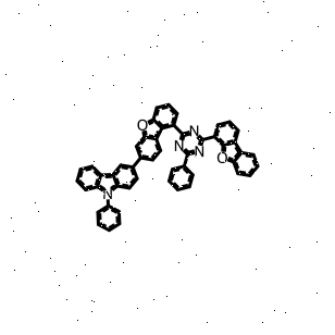 c1ccc(-c2nc(-c3cccc4c3oc3ccccc34)nc(-c3cccc4oc5cc(-c6ccc7c(c6)c6ccccc6n7-c6ccccc6)ccc5c34)n2)cc1